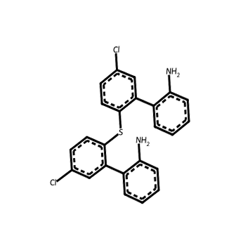 Nc1ccccc1-c1cc(Cl)ccc1Sc1ccc(Cl)cc1-c1ccccc1N